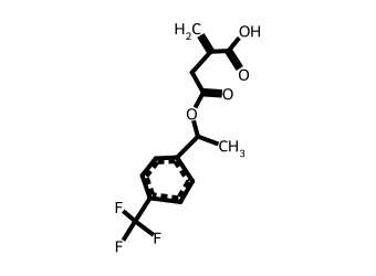 C=C(CC(=O)OC(C)c1ccc(C(F)(F)F)cc1)C(=O)O